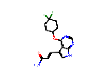 NC(=O)/C=C/c1c[nH]c2ncnc(OC3CCC(F)(F)CC3)c12